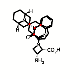 N[C@@H]1CN(c2nc3ccccc3n([C@H]3C[C@H]4CCC[C@@H](C3)N4C3CC4CCCCC(C4)C3)c2=O)[C@@H]1C(=O)O